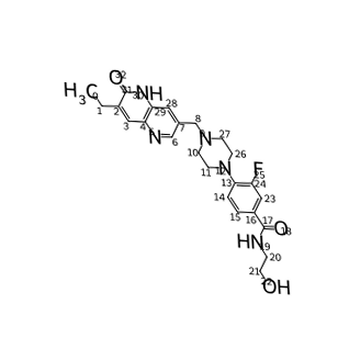 CCc1cc2ncc(CN3CCN(c4ccc(C(=O)NCCO)cc4F)CC3)cc2[nH]c1=O